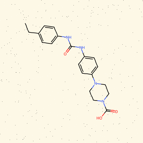 CCc1ccc(NC(=O)Nc2ccc(N3CCN(C(=O)O)CC3)cc2)cc1